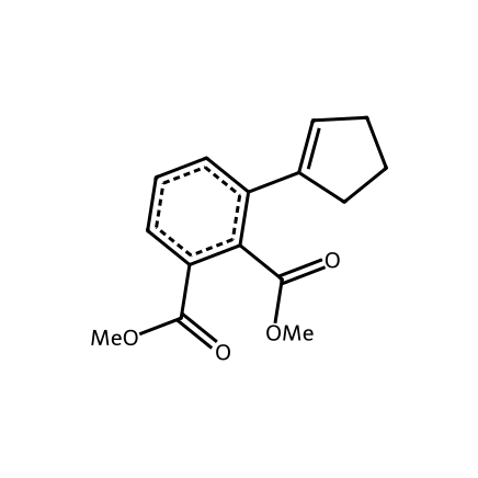 COC(=O)c1cccc(C2=CCCC2)c1C(=O)OC